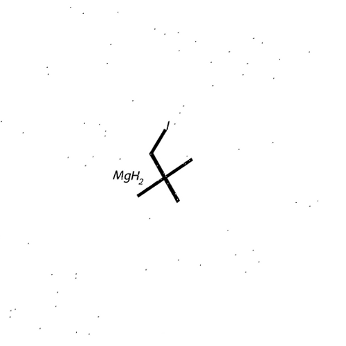 CC(C)(C)CI.[MgH2]